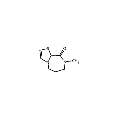 CN1CCCN2C=CSC2C1=O